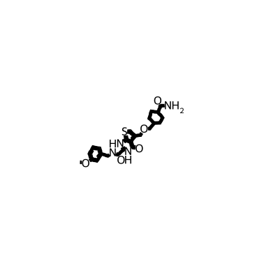 COc1cccc(CNC(=O)c2nc3scc(COCC4CCC(C(N)=O)CC4)c3c(=O)[nH]2)c1